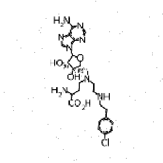 Nc1ncnc2c1ncn2C1O[C@H](CN(CCNCCc2ccc(Cl)cc2)CCC(N)C(=O)O)[C@@H](O)[C@H]1O